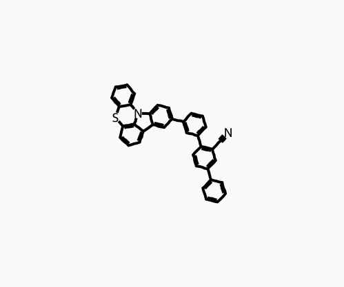 N#Cc1cc(-c2ccccc2)ccc1-c1cccc(-c2ccc3c(c2)c2cccc4c2n3-c2ccccc2S4)c1